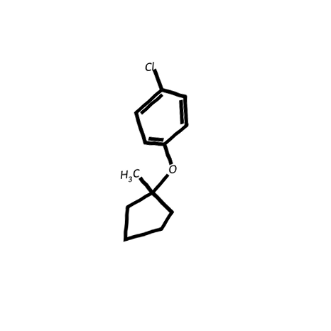 CC1(Oc2ccc(Cl)cc2)CCCC1